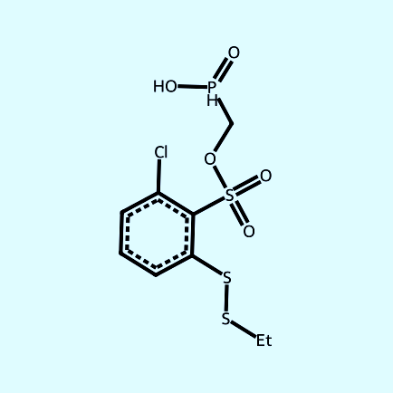 CCSSc1cccc(Cl)c1S(=O)(=O)OC[PH](=O)O